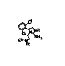 CCN(CC)CCN1C(N)NCC1c1c(Cl)cccc1Cl